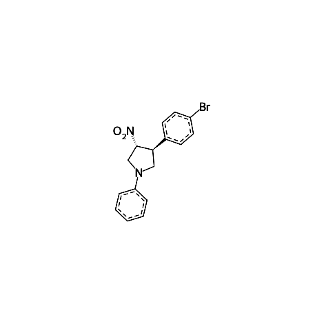 O=[N+]([O-])[C@H]1CN(c2ccccc2)C[C@@H]1c1ccc(Br)cc1